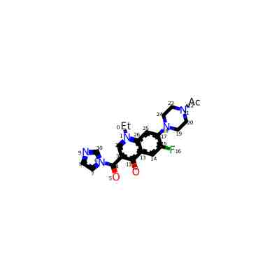 CCn1cc(C(=O)n2ccnc2)c(=O)c2cc(F)c(N3CCN(C(C)=O)CC3)cc21